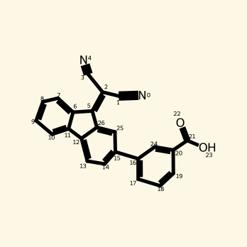 N#CC(C#N)=C1c2ccccc2-c2ccc(-c3cccc(C(=O)O)c3)cc21